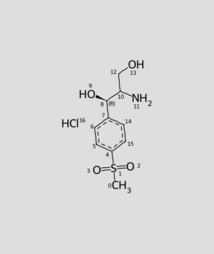 CS(=O)(=O)c1ccc([C@@H](O)C(N)CO)cc1.Cl